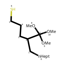 CCCCCCCCC(CCCS)C(OC)(OC)OC